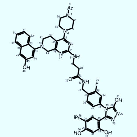 CC(=O)N1CCN(c2nc(NCCC(=O)NCc3ccc(-n4c(O)nnc4-c4cc(C(C)C)c(O)cc4O)cc3F)nc3c2CCN(c2cc(O)cc4ccccc24)C3)CC1